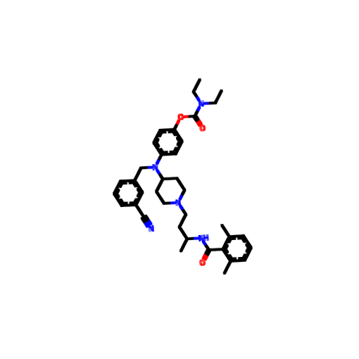 CCN(CC)C(=O)Oc1ccc(N(Cc2cccc(C#N)c2)C2CCN(CCC(C)NC(=O)c3c(C)cccc3C)CC2)cc1